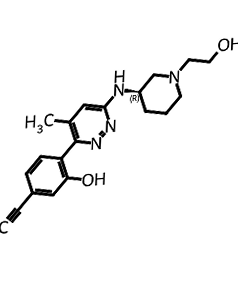 C#Cc1ccc(-c2nnc(N[C@@H]3CCCN(CCO)C3)cc2C)c(O)c1